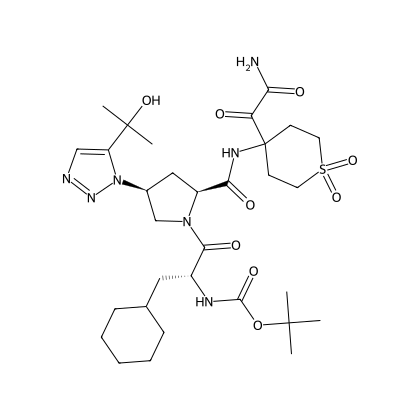 CC(C)(C)OC(=O)N[C@H](CC1CCCCC1)C(=O)N1C[C@@H](n2nncc2C(C)(C)O)C[C@H]1C(=O)NC1(C(=O)C(N)=O)CCS(=O)(=O)CC1